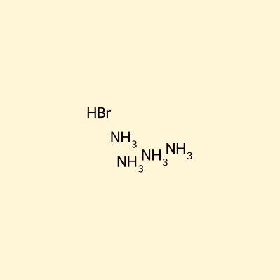 Br.N.N.N.N